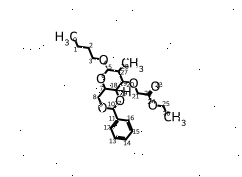 CCCCO[C@H]1OC2COC(c3ccccc3)O[C@H]2[C@H](OCC(=O)OCC)C1C